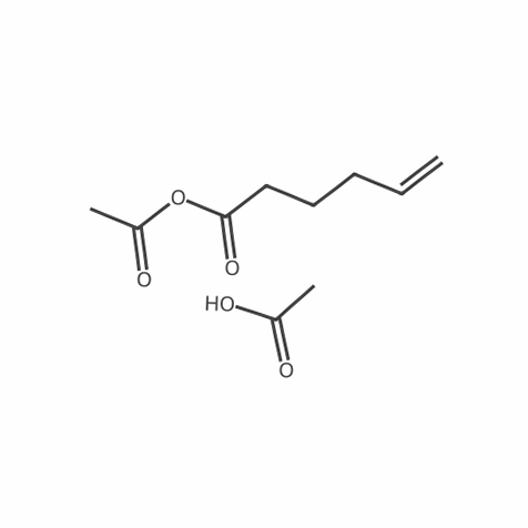 C=CCCCC(=O)OC(C)=O.CC(=O)O